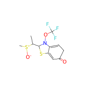 CC(C1SC2=CC(=O)CC=C2N1OC(F)(F)F)[S+](C)[O-]